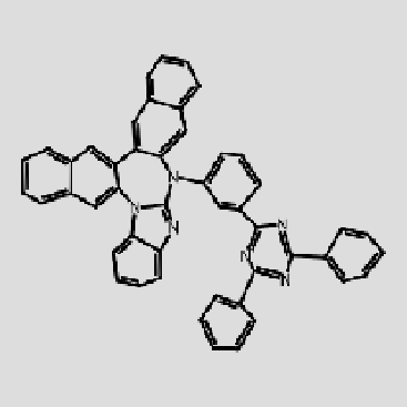 c1ccc(-c2nc(-c3ccccc3)nc(-c3cccc(N4c5cc6ccccc6cc5-c5cc6ccccc6cc5-n5c4nc4ccccc45)c3)n2)cc1